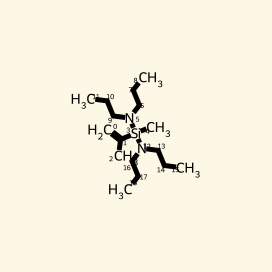 C=C(C)[Si](C)(N(CCC)CCC)N(CCC)CCC